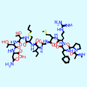 CCCSCC(NC(=O)C(NC(=O)CNC(=O)C(CCSC)NC(=O)C(CCCNC(=N)N)NC(=O)C(Cc1ccccc1)NC(=O)C1CCCN1C(=O)C(C)NC)C(C)CC)C(=O)NC(C(=O)NC(C(=O)NC(CC(N)=O)C(=O)O)C(C)O)C(C)O